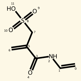 C=CNC(=O)C(=C)CS(=O)(=O)O